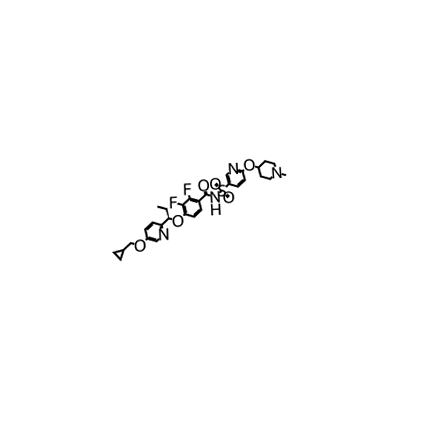 CC[C@@H](Oc1ccc(C(=O)NS(=O)(=O)c2ccc(OC3CCN(C)CC3)nc2)c(F)c1F)c1ccc(OCC2CC2)cn1